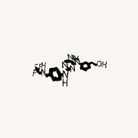 OCCc1cccc(-n2nnc3cnc(Nc4ccc(CNCC(F)(F)F)cc4)nc32)c1